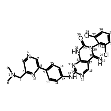 CN(C)Cc1cncc(-c2ccc(Nc3ncc4c(=N)n(-c5c(Cl)cccc5Cl)c(=O)[nH]c4n3)cc2)n1